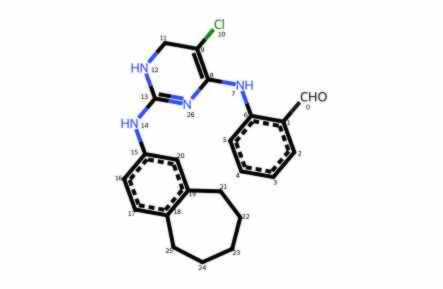 O=Cc1ccccc1NC1=C(Cl)CNC(Nc2ccc3c(c2)CCCCC3)=N1